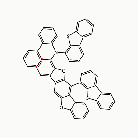 c1ccc(-c2ccccc2N(c2cccc3c2oc2c(-c4cccc5c4sc4ccccc45)c4c(cc23)oc2ccccc24)c2cccc3c2sc2ccccc23)cc1